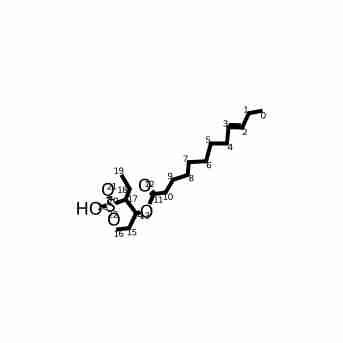 CC/C=C/CCCCCCCC(=O)OC(CC)C(CC)S(=O)(=O)O